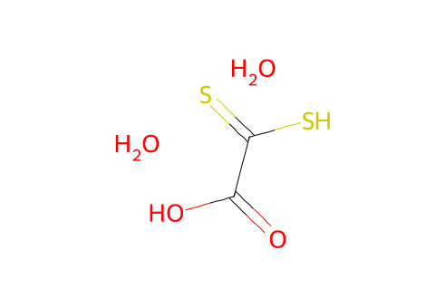 O.O.O=C(O)C(=S)S